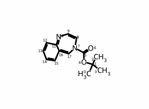 CC(C)(C)OC(=O)N1C=CN=c2ccccc2=C1